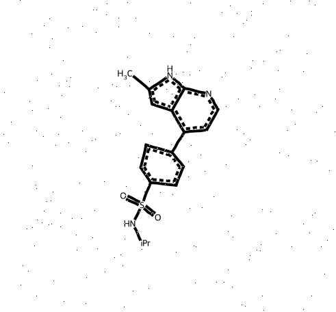 Cc1cc2c(-c3ccc(S(=O)(=O)NC(C)C)cc3)ccnc2[nH]1